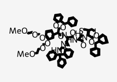 COCCOCOc1ccc(C(O/N=C(/C(=O)N[C@@H]2C(=O)N3C(C(=O)OC(c4ccccc4)c4ccccc4)=C(CI)CS[C@H]23)c2csc(NC(c3ccccc3)(c3ccccc3)c3ccccc3)n2)C(=O)OC(c2ccccc2)c2ccccc2)cc1OCOCCOC